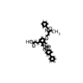 Cc1oc(-c2ccccc2)nc1CCOc1ccc(CCC(=O)O)c2c1CN(S(=O)(=O)c1ccc(-c3ccccc3)cc1)C2